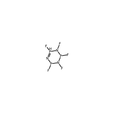 FN1P(F)N=[PH](F)N(F)P1F